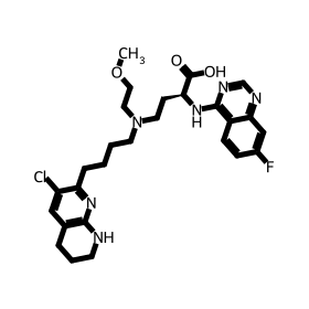 COCCN(CCCCc1nc2c(cc1Cl)CCCN2)CC[C@H](Nc1ncnc2cc(F)ccc12)C(=O)O